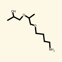 CC(O)COC(C)COCCCCN